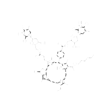 CCCCCCOC(C)c1c(C)c2[nH]c1cc1nc(cc3[nH]c4c(c5nc(c2-c2ccc(C(=O)OCC6OC(n7cc(C)c(=O)[nH]c7=O)CC6O)cc2)C(C)C5CCC(=O)OCC2OC(n5cc(C)c(=O)[nH]c5=O)CC2O)CC(=O)c4c3C)C(CC)=C1C